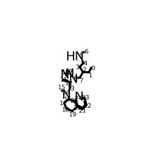 CCC(CCNC)Cn1nncc1CN(C)C1CCCc2cccnc21